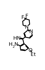 CCOc1ccc(N)c(C(=N)c2ccnc(N3CCC(F)(F)CC3)c2)c1